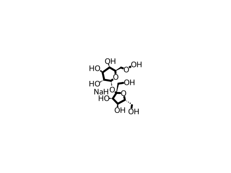 OC[C@H]1O[C@@](CO)(O[C@H]2O[C@H](COO)[C@@H](O)[C@H](O)[C@H]2O)[C@@H](O)[C@@H]1O.[NaH]